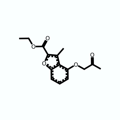 CCOC(=O)c1oc2cccc(OCC(C)=O)c2c1C